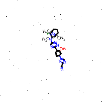 CN(c1cnc(-c2ccc(-n3cnc(C#N)n3)cc2O)nn1)[C@H]1C[C@]2(C)CCC[C@@](C)(N2)[C@H]1F